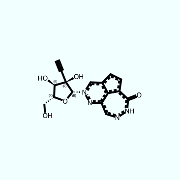 C#C[C@@]1(O)[C@H](O)[C@@H](CO)O[C@H]1n1cc2ccc3c(=O)[nH]ncc(n1)c23